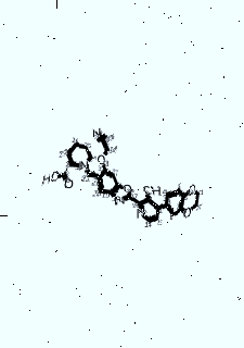 Cc1c(-c2ccc3c(c2)OCCO3)ccnc1-c1nc2cc(CN3CCCC[C@H]3C(=O)O)c(OCC#N)cc2o1